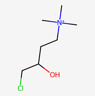 C[N+](C)(C)CCC(O)CCl